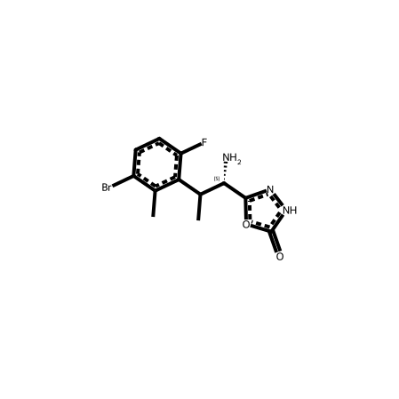 Cc1c(Br)ccc(F)c1C(C)[C@H](N)c1n[nH]c(=O)o1